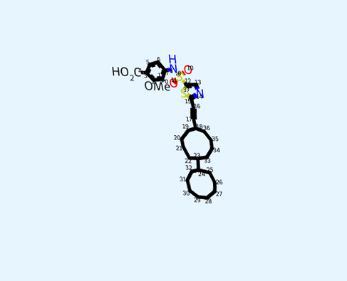 COc1cc(C(=O)O)ccc1NS(=O)(=O)c1cnc(C#CC2CCCCC(C3CCCCCCCC3)CCCC2)s1